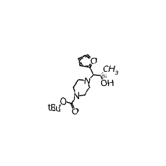 C[C@H](O)C(c1ccco1)N1CCN(C(=O)OC(C)(C)C)CC1